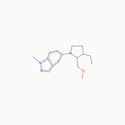 CCC1CCN(c2ccc3c(cnn3C)c2)C1COC